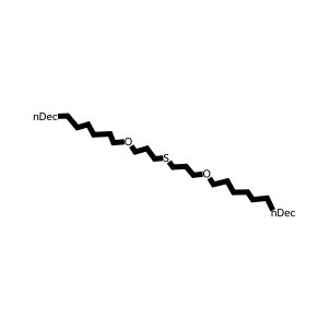 CCCCCCCCCCCCCCCCOCCCSCCCOCCCCCCCCCCCCCCCC